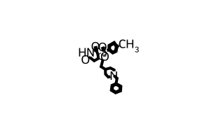 Cc1ccc(S(=O)(=O)[C@H]2C(=O)NC(=O)C[C@@H]2CCC2CCN(Cc3ccccc3)CC2)cc1